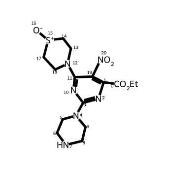 CCOC(=O)c1nc(N2CCNCC2)nc(N2CC[S+]([O-])CC2)c1[N+](=O)[O-]